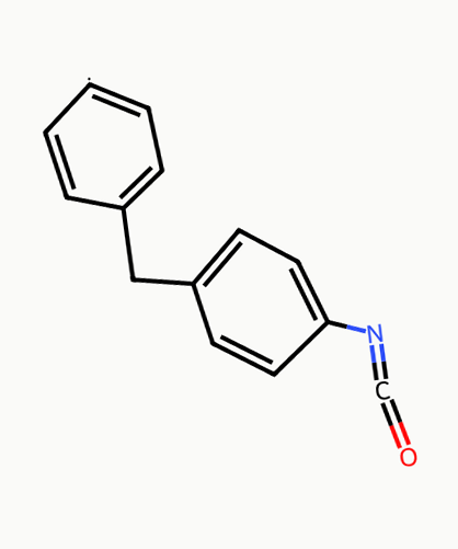 O=C=Nc1ccc(Cc2cc[c]cc2)cc1